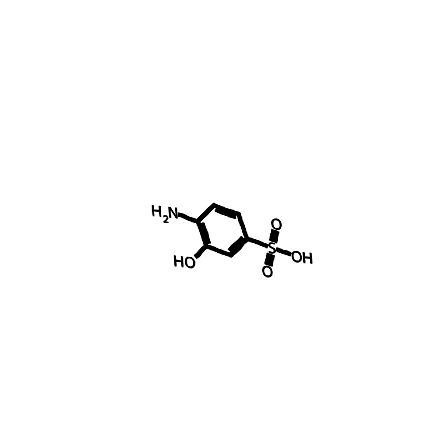 Nc1ccc(S(=O)(=O)O)cc1O